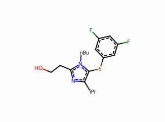 CCCCn1c(CCO)nc(C(C)C)c1Sc1cc(F)cc(F)c1